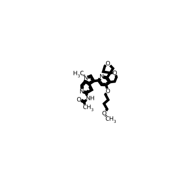 COCCCCOc1cc(-c2cn(C)c3cnc(NC(C)=O)cc23)nc2c1CCOC21CCOC1